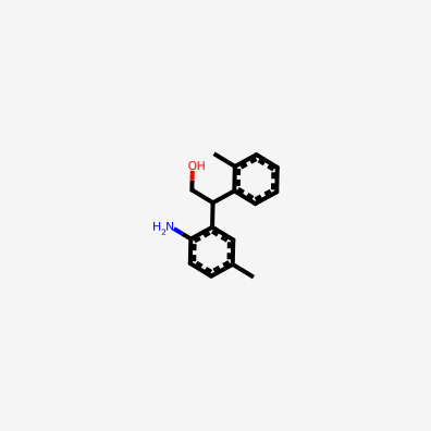 Cc1ccc(N)c(C(CO)c2ccccc2C)c1